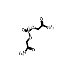 NC(=O)CO[PH](=O)OCC(N)=O